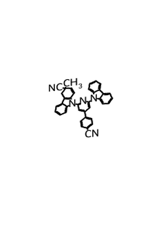 CC1(C#N)C=Cc2c(c3ccccc3n2-c2cc(-c3ccc(C#N)cc3)cc(-n3c4ccccc4c4ccccc43)n2)C1